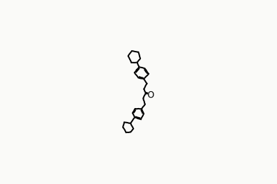 O=C(CCc1ccc(C2CCCCC2)cc1)CCc1ccc(C2CCCCC2)cc1